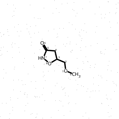 COCC1CC(=O)NO1